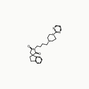 O=C1CC2(CCc3ccccc32)C(=O)N1CCCCN1CCN(c2ncccn2)CC1